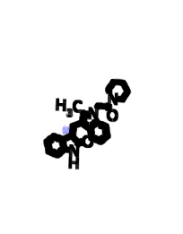 Cc1c(/C=C2\C(=O)Nc3ccccc32)c2ccccc2n1CC(=O)N1CCCCC1